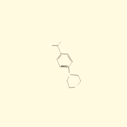 CC(C(=O)O)c1ccc(N2CCOCC2)cc1